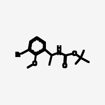 COc1c(Br)cccc1C(C)NC(=O)OC(C)(C)C